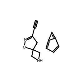 C#CC1=NOC2(CNC2)C1.c1cc2cc-2c1